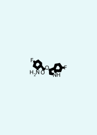 Nc1cc(F)ccc1C(=O)Oc1c[nH]c2cc(F)ccc12